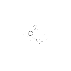 O=C(NNS(=O)(=O)CC1CCOCC1)c1cc(-n2cccn2)cc(Cl)c1F